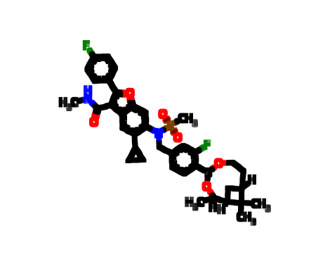 CNC(=O)c1c(-c2ccc(F)cc2)oc2cc(N(Cc3ccc(B4OCC[C@H]5C[C@@H]([C@@H](C)O4)C5(C)C)c(F)c3)S(C)(=O)=O)c(C3CC3)cc12